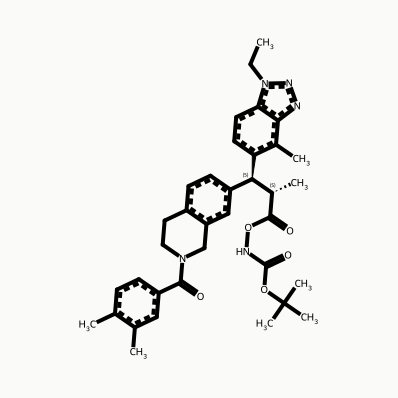 CCn1nnc2c(C)c([C@H](c3ccc4c(c3)CN(C(=O)c3ccc(C)c(C)c3)CC4)[C@H](C)C(=O)ONC(=O)OC(C)(C)C)ccc21